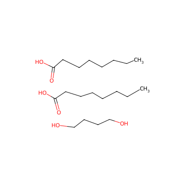 CCCCCCCC(=O)O.CCCCCCCC(=O)O.OCCCCO